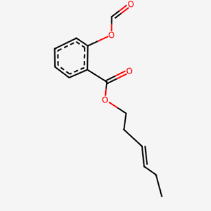 CCC=CCCOC(=O)c1ccccc1OC=O